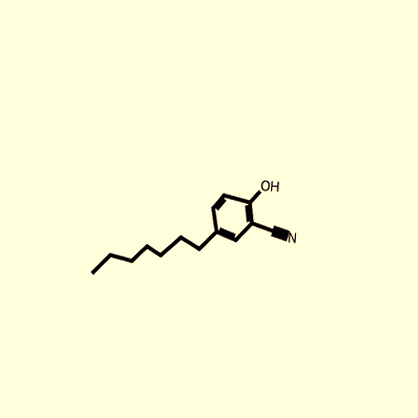 CCCCCCCc1ccc(O)c(C#N)c1